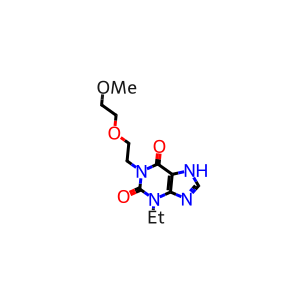 CCn1c(=O)n(CCOCCOC)c(=O)c2[nH]cnc21